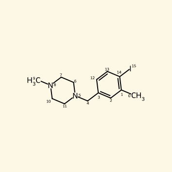 Cc1cc(CN2CCN(C)CC2)ccc1I